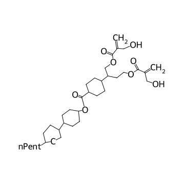 C=C(CO)C(=O)OCCC(COC(=O)C(=C)CO)C1CCC(C(=O)OC2CCC(C3CCC(CCCCC)CC3)CC2)CC1